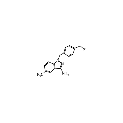 Nc1nn(Cc2ccc(CF)cc2)c2ccc(C(F)(F)F)cc12